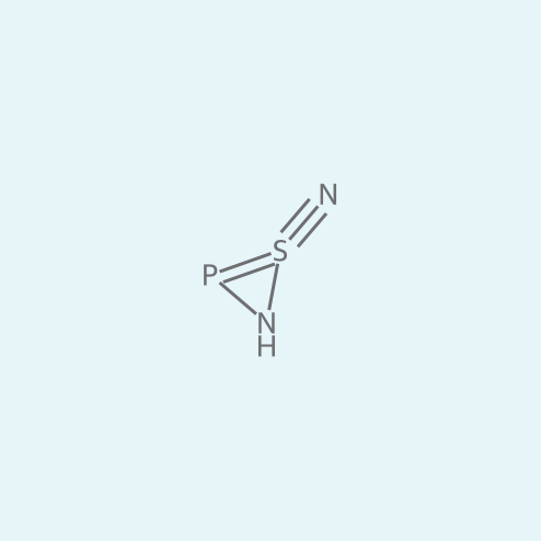 N#S1=PN1